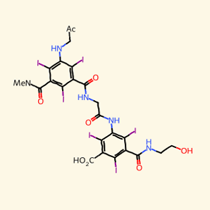 CNC(=O)c1c(I)c(NCC(C)=O)c(I)c(C(=O)NCC(=O)Nc2c(I)c(C(=O)O)c(I)c(C(=O)NCCO)c2I)c1I